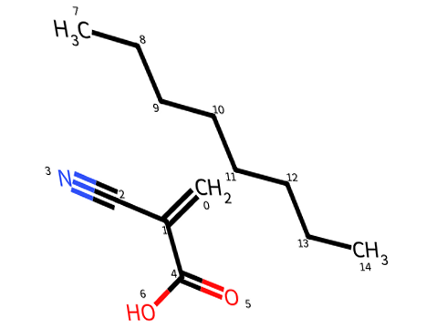 C=C(C#N)C(=O)O.CCCCCCCC